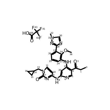 CCC(=O)c1cnc(Nc2ccn(CC3CC3)c(=O)n2)cc1Nc1cccc(-c2ncn(C)n2)c1OC.O=C(O)C(F)(F)F